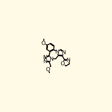 COCc1nnc2n1Cc1c(C3=NCCO3)ncn1-c1ccc(OC)cc1-2